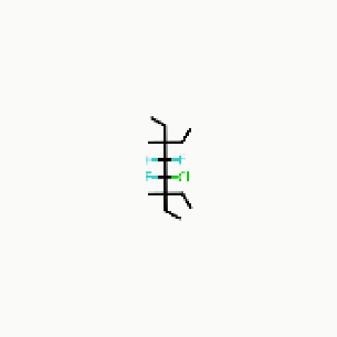 CCC(C)(CC)C(F)(F)C(F)(Cl)C(C)(CC)CC